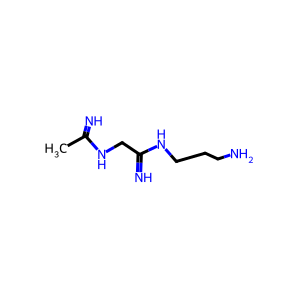 CC(=N)NCC(=N)NCCCN